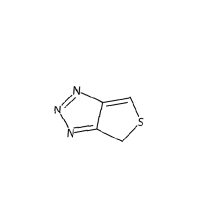 C1=C2N=NN=C2CS1